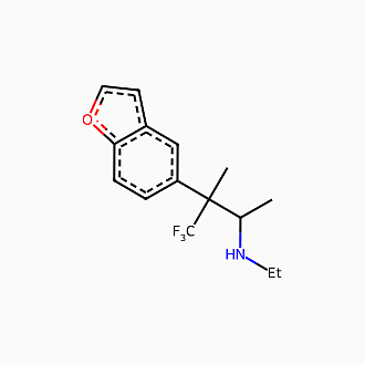 CCNC(C)C(C)(c1ccc2occc2c1)C(F)(F)F